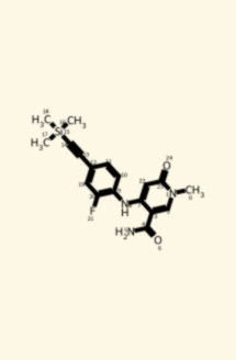 Cn1cc(C(N)=O)c(Nc2ccc(C#C[Si](C)(C)C)cc2F)cc1=O